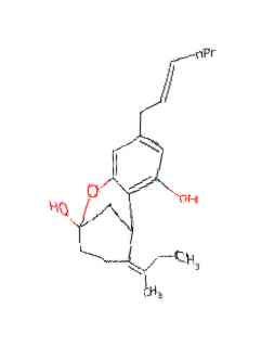 CCCC=CCc1cc(O)c2c(c1)OC1(O)CCC(=C(C)C)C2C1